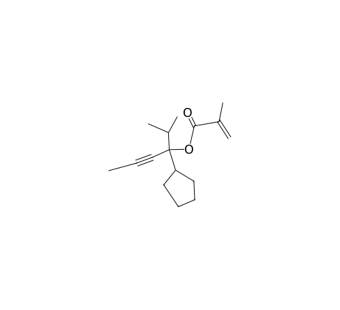 C=C(C)C(=O)OC(C#CC)(C(C)C)C1CCCC1